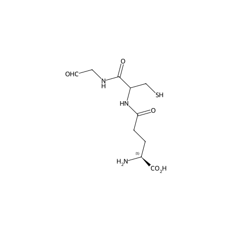 N[C@@H](CCC(=O)NC(CS)C(=O)NCC=O)C(=O)O